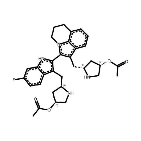 CC(=O)O[C@@H]1CN[C@H](Cc2c(-c3c(C[C@@H]4C[C@H](OC(C)=O)CN4)c4cccc5c4n3CCC5)[nH]c3cc(F)ccc23)C1